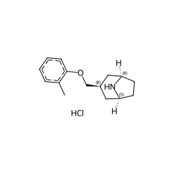 Cc1ccccc1OC[C@H]1C[C@H]2CC[C@@H](C1)N2.Cl